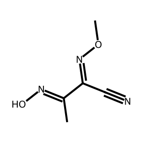 CON=C(C#N)C(C)=NO